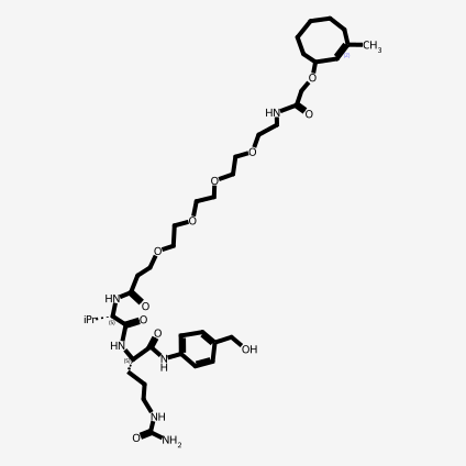 C/C1=C/C(OCC(=O)NCCOCCOCCOCCOCCC(=O)N[C@H](C(=O)N[C@@H](CCCNC(N)=O)C(=O)Nc2ccc(CO)cc2)C(C)C)CCCCC1